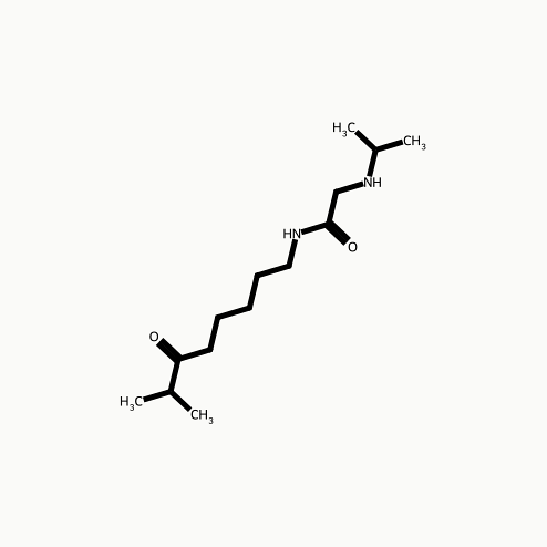 CC(C)NCC(=O)NCCCCCC(=O)C(C)C